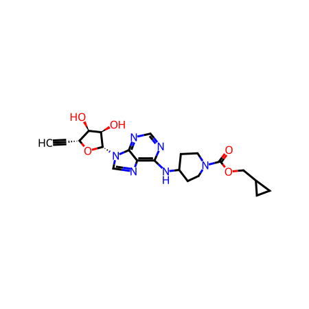 C#C[C@H]1O[C@@H](n2cnc3c(NC4CCN(C(=O)OCC5CC5)CC4)ncnc32)[C@H](O)[C@@H]1O